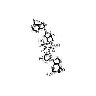 C[C@]1(COP(O)(O)=S)O[C@@H](n2cnc3c(N)ncnc32)C[C@@H]1OP(O)(=S)OC[C@H]1O[C@@H](n2cnc3c(=O)[nH]c(N)nc32)C[C@H]1F